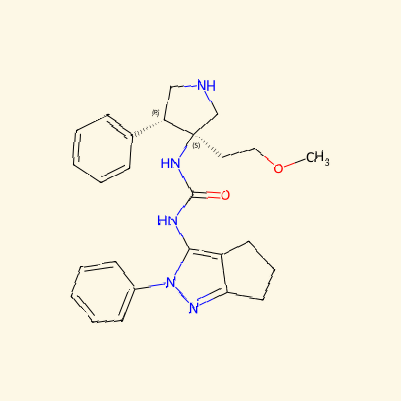 COCC[C@@]1(NC(=O)Nc2c3c(nn2-c2ccccc2)CCC3)CNC[C@H]1c1ccccc1